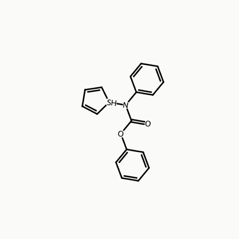 O=C(Oc1ccccc1)N(c1ccccc1)[SH]1C=CC=C1